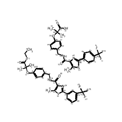 CCOC(=O)C(C)(C)Oc1ccc(CNC(=O)c2nc(-c3cccc(C(F)(F)F)c3)sc2C)cc1.Cc1sc(-c2ccc(C(F)(F)F)cc2)nc1C(=O)NCc1ccc(OC(C)(C)C(=O)O)cc1